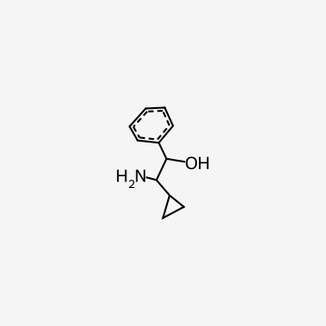 NC(C1CC1)C(O)c1ccccc1